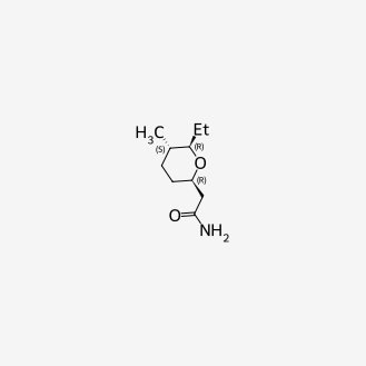 CC[C@H]1O[C@@H](CC(N)=O)CC[C@@H]1C